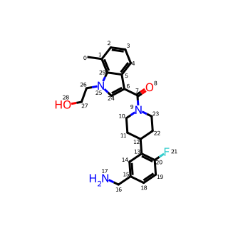 Cc1cccc2c(C(=O)N3CCC(c4cc(CN)ccc4F)CC3)cn(CCO)c12